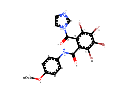 CCCCCCCCOc1ccc(NC(=O)c2c(Br)c(Br)c(Br)c(Br)c2C(=O)n2ccnc2)cc1